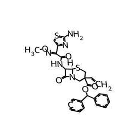 C=CC1(C(=O)OC(c2ccccc2)c2ccccc2)CS[C@@H]2C(NC(=O)C(=NOC)c3csc(N)n3)C(=O)N2C1